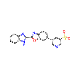 O=[SH](=O)c1cncc(-c2ccc3nc(-c4nc5ccccc5[nH]4)oc3c2)c1